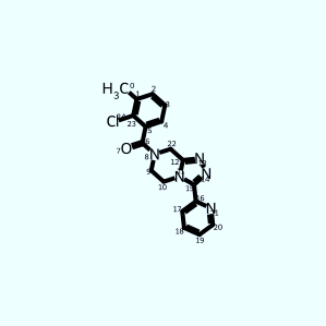 Cc1cccc(C(=O)N2CCn3c(nnc3-c3ccccn3)C2)c1Cl